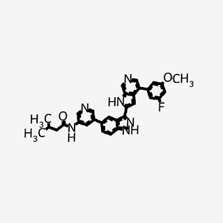 COc1cc(F)cc(-c2cncc3[nH]c(-c4n[nH]c5ccc(-c6cncc(NC(=O)CC(C)C)c6)cc45)cc23)c1